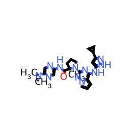 CN(C)c1cnc(NC(=O)[C@]2(C)CCCN2c2nc(Nc3cc(C4CC4)n[nH]3)c3cccn3n2)cn1